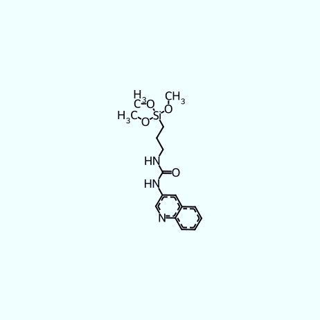 CO[Si](CCCNC(=O)Nc1cnc2ccccc2c1)(OC)OC